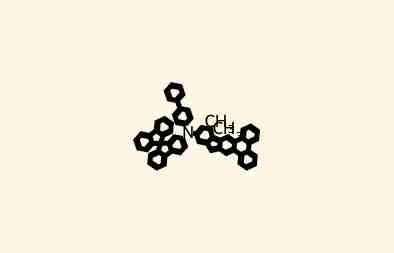 CC1(C)C=C(N(c2ccc(-c3ccccc3)cc2)c2ccc3c(c2)C2(c4ccccc4-c4ccccc42)c2ccccc2-3)C=C2C=c3cc4c5ccccc5c5ccccc5c4cc3=C21